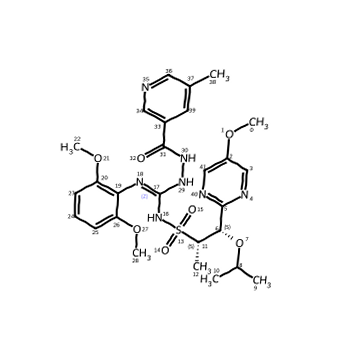 COc1cnc([C@H](OC(C)C)[C@H](C)S(=O)(=O)N/C(=N\c2c(OC)cccc2OC)NNC(=O)c2cncc(C)c2)nc1